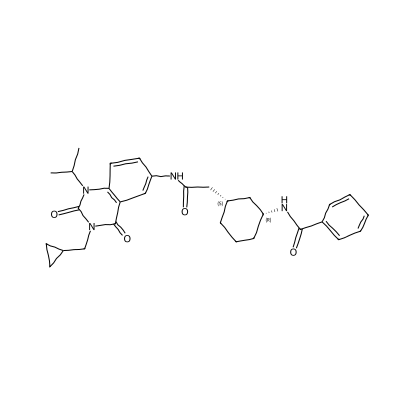 CC(C)n1c(=O)n(CC2CC2)c(=O)c2cc(NC(=O)C[C@H]3CCC[C@@H](NC(=O)c4ccccc4)C3)ccc21